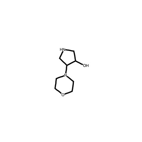 OC1CNCC1N1CCOCC1